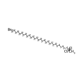 C[Si](Cl)(Cl)CCCCCCCCCCCCCCCCCCCCCCCCCCCCCCBr